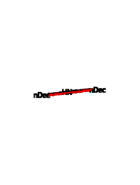 CCCCCCCCCCC/C=C/C/C=C/CCCCCCCCCCCCCCCCCCCCNCCCCCCCCCCCC=CCC=CCCCCCCCCCCCCCCCCCCCC